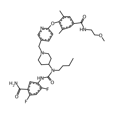 CCCCN(C(=O)Nc1cc(C(N)=O)c(F)cc1F)C1CCN(Cc2ccc(Oc3c(C)cc(C(=O)NCCOC)cc3C)nc2)CC1